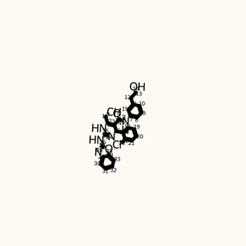 CCC1=C(C(=O)Nc2cccc(CCO)c2)C(c2ccccc2Cl)N=C(Nc2nc3ccccc3o2)N1